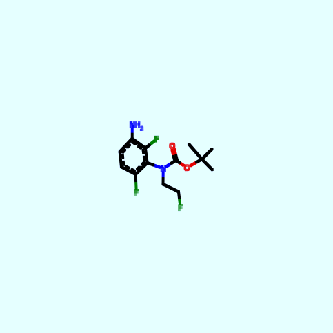 CC(C)(C)OC(=O)N(CCF)c1c(F)ccc(N)c1F